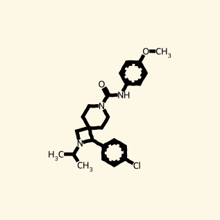 COc1ccc(NC(=O)N2CCC3(CC2)CN(C(C)C)C3c2ccc(Cl)cc2)cc1